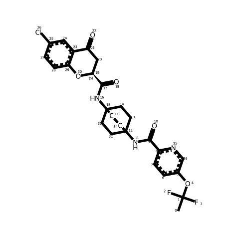 CC(F)(F)Oc1ccc(C(=O)NC23CCC(NC(=O)[C@@H]4CC(=O)c5cc(Cl)ccc5O4)(CC2)CC3)nc1